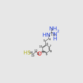 N=C(N)NCCc1cccc(OCCS)c1